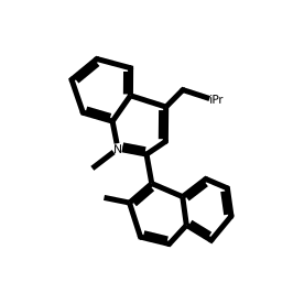 Cc1ccc2ccccc2c1-c1cc(CC(C)C)c2ccccc2[n+]1C